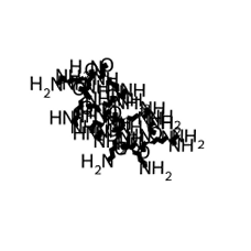 N=C(N)NCCC[C@H](NC(=O)[C@H](CCCNC(=N)N)NC(=O)[C@H](CCCNC(=N)N)NC(=O)[C@H](CCC(N)=O)NC(=O)[C@H](CCCNC(=N)N)NC(=O)[C@H](CCCNC(=N)N)NC(=O)[C@H](CCCCN)NC(=O)[C@H](CCCCN)NC(=O)[C@H](CCCNC(=N)N)NC(=O)CN)C(N)=O